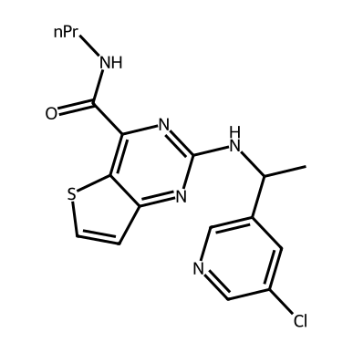 CCCNC(=O)c1nc(NC(C)c2cncc(Cl)c2)nc2ccsc12